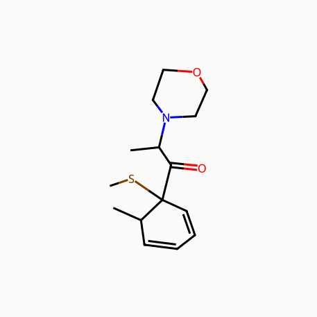 CSC1(C(=O)C(C)N2CCOCC2)C=CC=CC1C